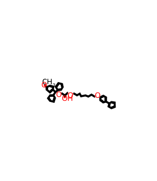 COc1ccc(C(OCC(O)COCCCCCCCCOc2ccc(-c3ccccc3)cc2)(c2ccccc2)c2ccccc2)cc1